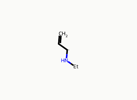 C=C[CH]NCC